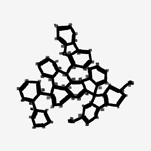 CC(C)(C)c1ccc2c(c1)C1(c3cc(C(C)(C)C)ccc3-2)c2ccccc2-c2c(N(c3ccccc3-c3ccccc3-c3ccccc3-c3ccccc3)c3cccc4c3oc3ccccc34)cccc21